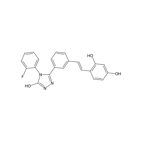 Oc1ccc(C=Cc2cccc(-c3nnc(O)n3-c3ccccc3F)c2)c(O)c1